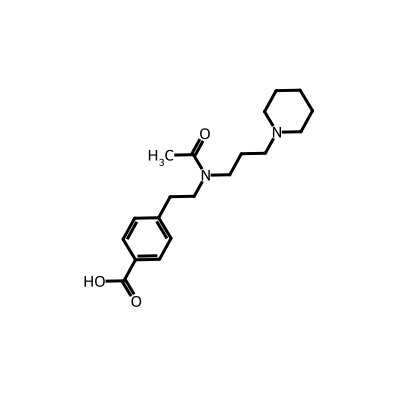 CC(=O)N(CCCN1CCCCC1)CCc1ccc(C(=O)O)cc1